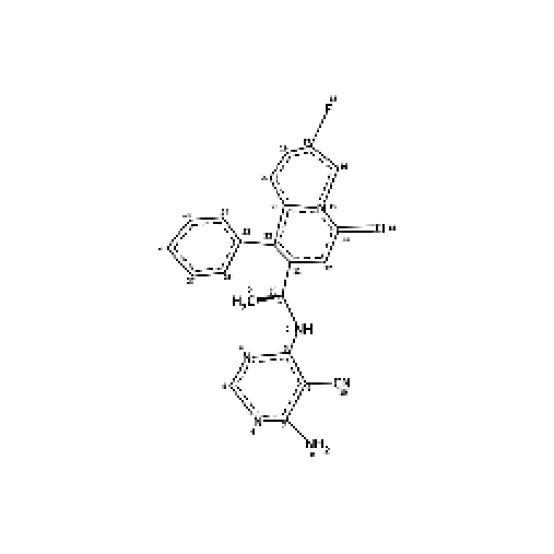 C[C@H](Nc1ncnc(N)c1C#N)c1cc(=O)n2cc(F)ccc2c1-c1ccccc1